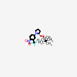 CC(C)(C)[Si](C)(C)OC[C@H]1CCCN1c1ccc([N+](=O)[O-])c(C(F)(F)F)c1